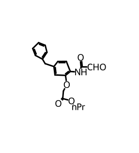 CCCOC(=O)COc1cc(Cc2ccccc2)ccc1NC(=O)C=O